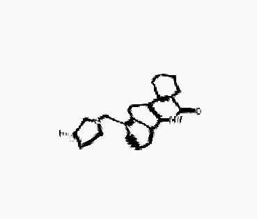 O=c1[nH]c2c(c3c1CCCC3)Cc1c(CN3CC[C@H](F)C3)cccc1-2